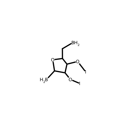 BCC1OC(B)C(OI)C1OI